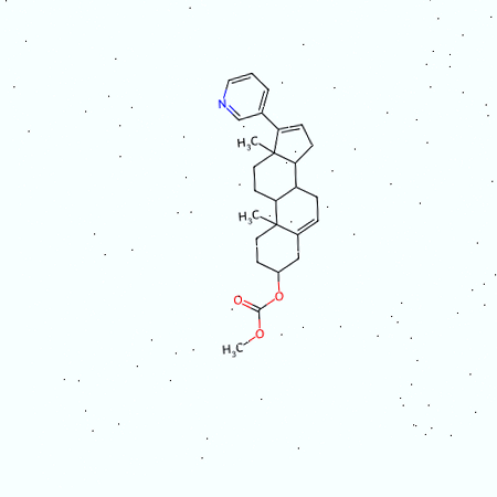 COC(=O)OC1CCC2(C)C(=CCC3C2CCC2(C)C(c4cccnc4)=CCC32)C1